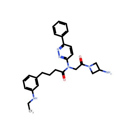 NC1CN(C(=O)CN(C(=O)CCCc2cccc(NCC(F)(F)F)c2)c2ccc(-c3ccccc3)nn2)C1